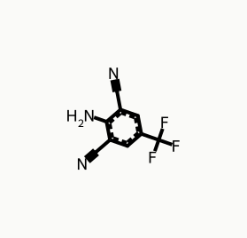 N#Cc1cc(C(F)(F)F)cc(C#N)c1N